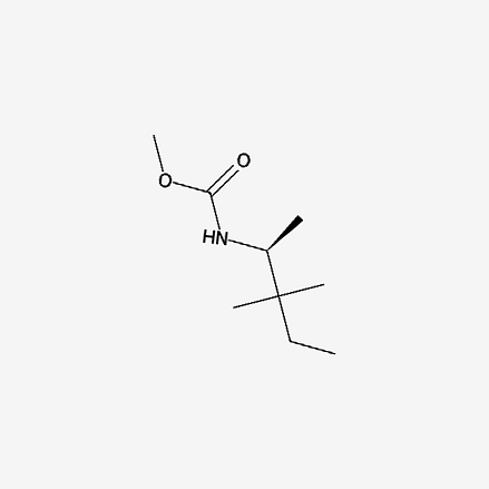 CCC(C)(C)[C@H](C)NC(=O)OC